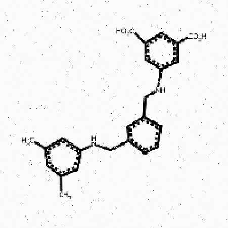 Cc1cc(C)cc(NCc2cccc(CNc3cc(C(=O)O)cc(C(=O)O)c3)c2)c1